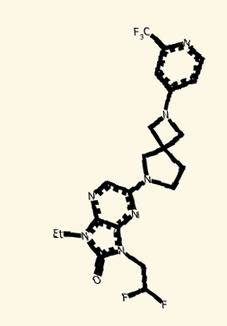 CCn1c(=O)n(CC(F)F)c2nc(N3CCC4(CN(c5ccnc(C(F)(F)F)c5)C4)C3)cnc21